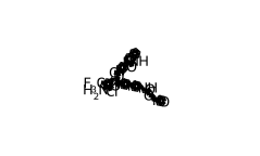 Nc1c(Cl)cc(C[C@@H](OC(=O)N2CCC(N3CCc4ccccc4NC3=O)CC2)C(=O)N2CCC(N3CCC(NCC(=O)OCCN4CCOCC4)CC3)CC2)cc1C(F)(F)F